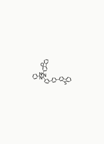 c1ccc(-c2nc(-c3cccc(-c4ccc(-c5ccc6c(c5)sc5ccccc56)cc4)c3)nc(-c3ccc4c(c3)oc3ccccc34)n2)cc1